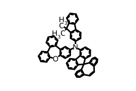 CC1(C)c2ccccc2-c2ccc(N(c3ccc4c(c3)-c3ccccc3-c3ccccc3O4)c3cccc4c3-c3ccccc3C43c4ccccc4C=Cc4ccccc43)cc21